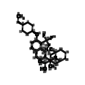 CC[C@H]1CC[C@@H](Oc2ccc3ccc(C(C)N4C5CCCC4(C)CC(C(=O)O)C5)cc3c2C(F)(F)F)CC1